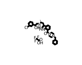 C[C@H](Cc1c[nH]c2c(C(=O)N3CCN(Cc4ccccc4)CC3)cccc12)NC[C@H](O)c1cccc(Cl)c1.O=C(O)C(F)(F)F